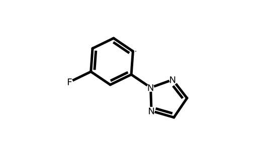 Fc1cc[c]c(-n2nccn2)c1